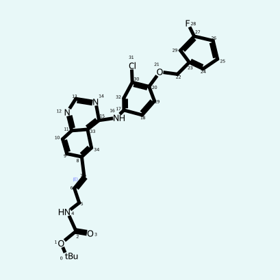 CC(C)(C)OC(=O)NC/C=C/c1ccc2ncnc(Nc3ccc(OCc4cccc(F)c4)c(Cl)c3)c2c1